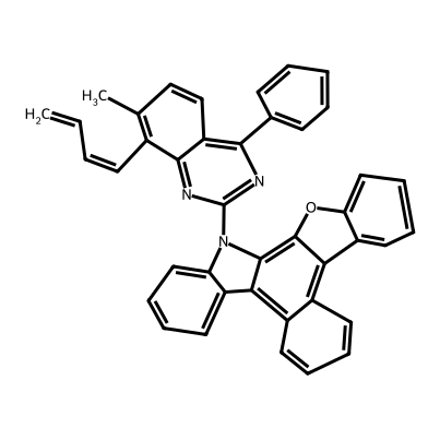 C=C/C=C\c1c(C)ccc2c(-c3ccccc3)nc(-n3c4ccccc4c4c5ccccc5c5c6ccccc6oc5c43)nc12